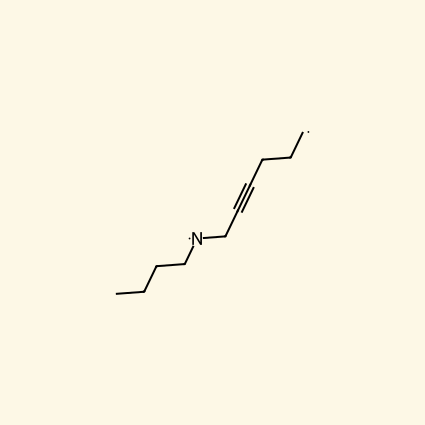 [CH2]CCC#CC[N]CCCC